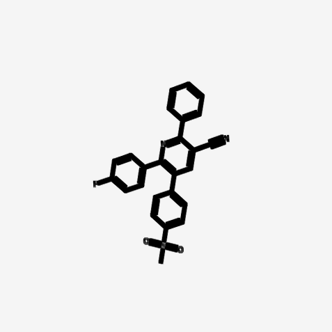 CS(=O)(=O)c1ccc(-c2cc(C#N)c(-c3ccccc3)nc2-c2ccc(F)cc2)cc1